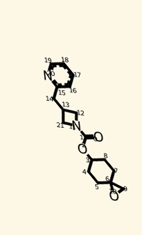 O=C(OC1CCC2(CC1)CO2)N1CC(Cc2ccccn2)C1